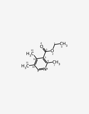 CCOC(=O)c1c(C)ncc(C)c1C